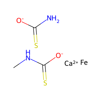 CNC([O-])=S.NC([O-])=S.[Ca+2].[Fe]